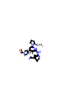 C[C@@H]1CCCN1c1cc(C2(C)CCN(C3COC3)CC2)cc(Nc2cc(C#N)ccn2)n1